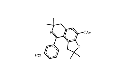 CC(=O)Oc1cc2c(c3c1OC(C)(C)C3)C(c1ccccc1)=NC(C)(C)C2.Cl